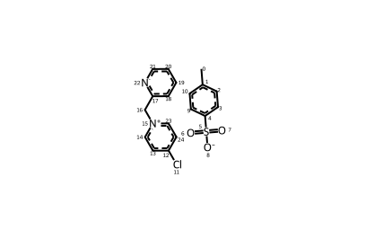 Cc1ccc(S(=O)(=O)[O-])cc1.Clc1cc[n+](Cc2ccccn2)cc1